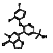 Cn1cc(-c2cc(C(C)(C)O)cnc2Oc2ccc(F)cc2F)c2sccc2c1=O